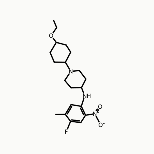 CCOC1CCC(N2CCC(Nc3cc(C)c(F)cc3[N+](=O)[O-])CC2)CC1